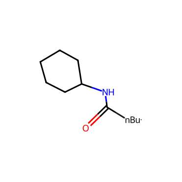 CCC[CH]C(=O)NC1CCCCC1